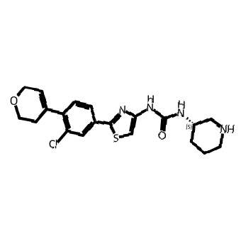 O=C(Nc1csc(-c2ccc(C3=CCOCC3)c(Cl)c2)n1)N[C@H]1CCCNC1